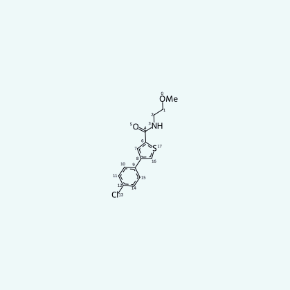 COCCNC(=O)c1cc(-c2ccc(Cl)cc2)cs1